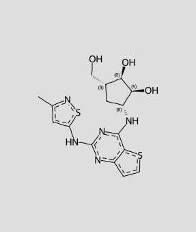 Cc1cc(Nc2nc(N[C@@H]3C[C@H](CO)[C@@H](O)[C@H]3O)c3sccc3n2)sn1